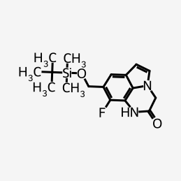 CC(C)(C)[Si](C)(C)OCc1cc2ccn3c2c(c1F)NC(=O)C3